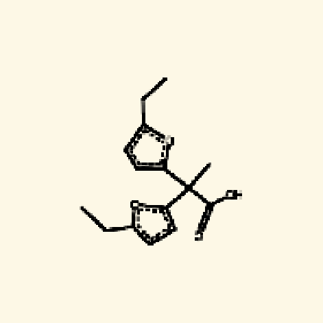 CCc1ccc(C(C)(C(=O)O)c2ccc(CC)o2)o1